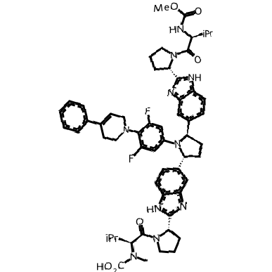 COC(=O)N[C@H](C(=O)N1CCC[C@H]1c1nc2cc([C@H]3CC[C@H](c4ccc5[nH]c([C@@H]6CCCN6C(=O)[C@H](C(C)C)N(C)C(=O)O)nc5c4)N3c3cc(F)c(N4CC=C(c5ccccc5)CC4)c(F)c3)ccc2[nH]1)C(C)C